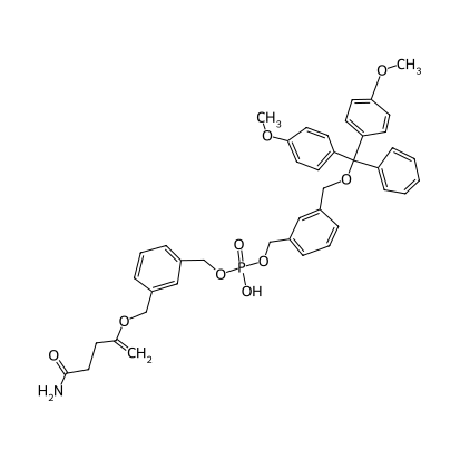 C=C(CCC(N)=O)OCc1cccc(COP(=O)(O)OCc2cccc(COC(c3ccccc3)(c3ccc(OC)cc3)c3ccc(OC)cc3)c2)c1